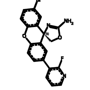 NC1=N[C@]2(CO1)c1cc(Br)ccc1Oc1ccc(-c3cccnc3F)cc12